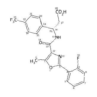 Cc1oc(-c2ccccc2F)nc1C(=O)N[C@@H](CC(=O)O)c1ccc(C(F)(F)F)cc1